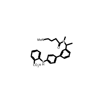 CNCCCC(=O)N(C)C(C)c1cccc(-c2ccc(Nc3ccccc3C(=O)O)cc2)c1